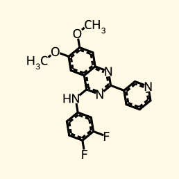 COc1cc2nc(-c3cccnc3)nc(Nc3ccc(F)c(F)c3)c2cc1OC